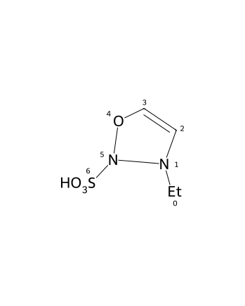 CCN1C=CON1S(=O)(=O)O